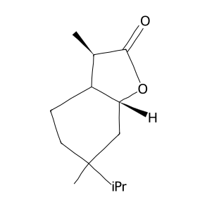 CC(C)C1(C)CCC2[C@@H](C1)OC(=O)[C@@H]2C